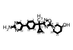 CC(c1ccc(-c2cnc(N)nc2)cc1)(c1noc(N2CCC[C@H](O)C2)n1)C1CC1